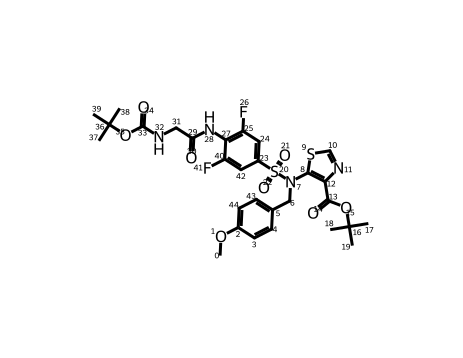 COc1ccc(CN(c2scnc2C(=O)OC(C)(C)C)S(=O)(=O)c2cc(F)c(NC(=O)CNC(=O)OC(C)(C)C)c(F)c2)cc1